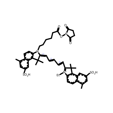 CC[N+]1=C(/C=C/C=C/C=C2/N(CCCCCC(=O)ON3C(=O)CCC3=O)c3ccc4c(C)cc(S(=O)(=O)O)cc4c3C2(C)C)C(C)(C)c2c1ccc1c(C)cc(S(=O)(=O)O)cc21